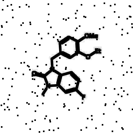 CCOc1cc(Cn2c(=O)n(C)c3cc(F)ccc32)ccc1OC